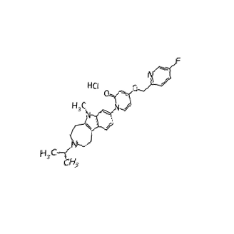 CC(C)N1CCc2c(n(C)c3cc(-n4ccc(OCc5ccc(F)cn5)cc4=O)ccc23)CC1.Cl